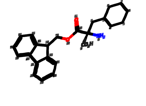 N[C@](CC1CCCCC1)(C(=O)O)C(=O)OCC1c2ccccc2-c2ccccc21